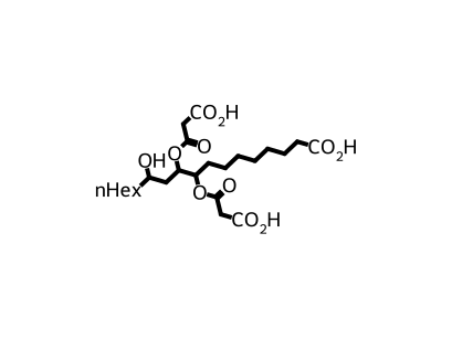 CCCCCCC(O)CC(OC(=O)CC(=O)O)C(CCCCCCCC(=O)O)OC(=O)CC(=O)O